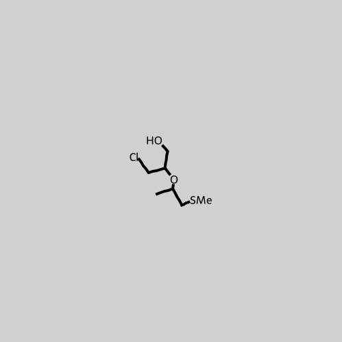 CSCC(C)OC(CO)CCl